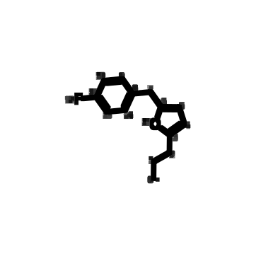 [CH2]CCc1ccc(Cc2ccc(F)cc2)o1